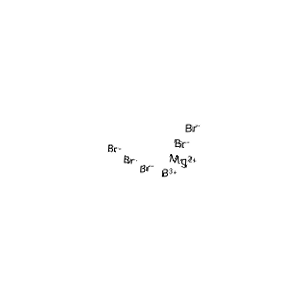 [B+3].[Br-].[Br-].[Br-].[Br-].[Br-].[Mg+2]